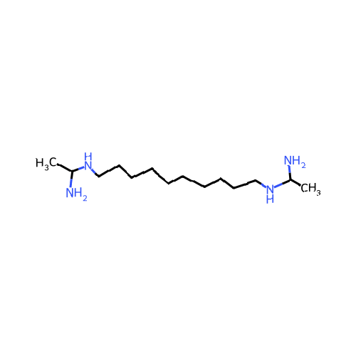 CC(N)NCCCCCCCCCCNC(C)N